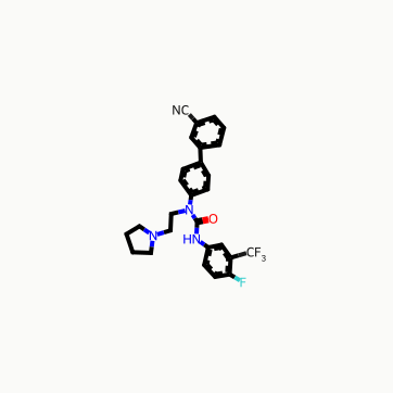 N#Cc1cccc(-c2ccc(N(CCN3CCCC3)C(=O)Nc3ccc(F)c(C(F)(F)F)c3)cc2)c1